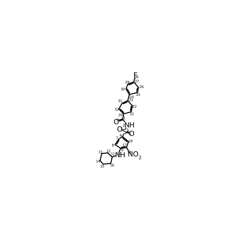 O=C(NS(=O)(=O)c1ccc(NC2CCCCC2)c([N+](=O)[O-])c1)c1ccc(-c2ccc(F)cc2)cc1